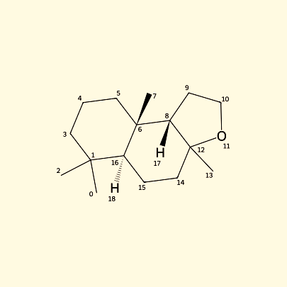 CC1(C)CCC[C@]2(C)[C@@H]3CCOC3(C)CC[C@@H]12